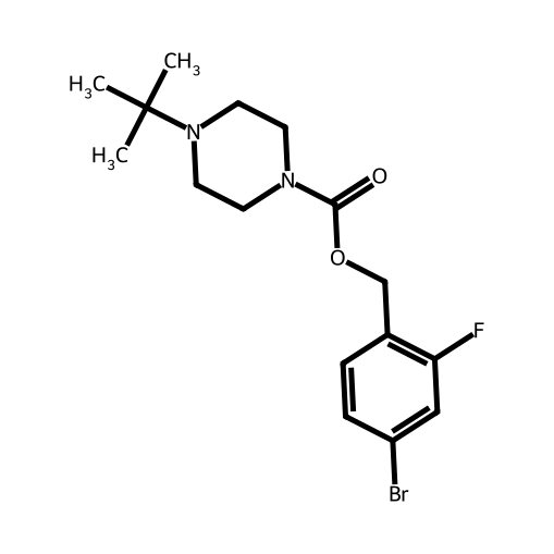 CC(C)(C)N1CCN(C(=O)OCc2ccc(Br)cc2F)CC1